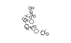 COc1ccc([C@H]2CC[C@H](CN(c3cc(-c4coc(C(C)(C)C)n4)ccn3)C(=O)[C@H]3CC[C@H](OC(=O)N4CC(O)C4)CC3)CC2)cc1C